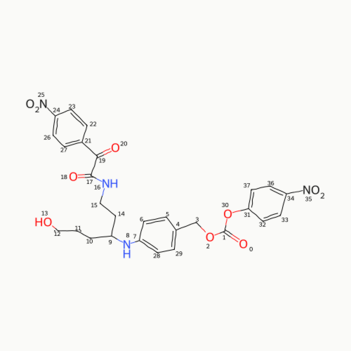 O=C(OCc1ccc(NC(C[CH][CH]O)CCNC(=O)C(=O)c2ccc([N+](=O)[O-])cc2)cc1)Oc1ccc([N+](=O)[O-])cc1